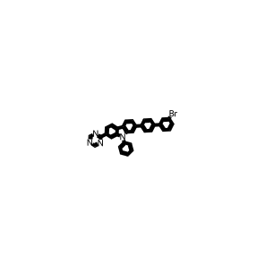 Brc1cccc(-c2ccc(-c3ccc4c5ccc(-c6ncncn6)cc5n(-c5ccccc5)c4c3)cc2)c1